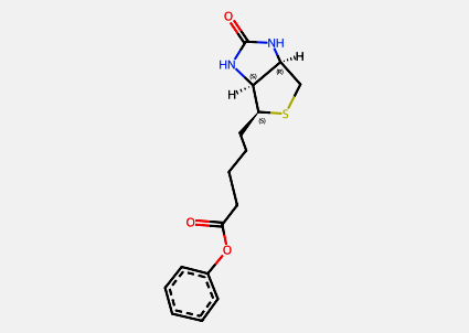 O=C1N[C@H]2[C@H](CS[C@H]2CCCCC(=O)Oc2ccccc2)N1